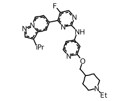 CCN1CCC(COc2cc(Nc3ncc(F)c(-c4ccn5ncc(C(C)C)c5c4)n3)ccn2)CC1